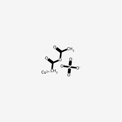 CC(=O)OC(C)=O.O=S(=O)([O-])[O-].[Cu+2]